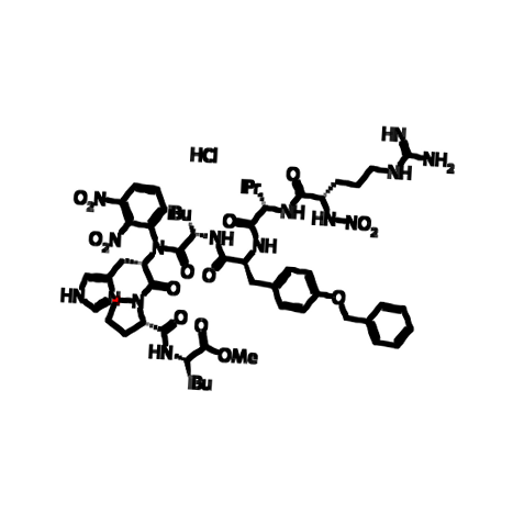 CC[C@H](C)[C@H](NC(=O)[C@@H]1CCCN1C(=O)[C@H](Cc1c[nH]cn1)N(C(=O)[C@@H](NC(=O)[C@H](Cc1ccc(OCc2ccccc2)cc1)NC(=O)[C@@H](NC(=O)[C@H](CCCNC(=N)N)N[N+](=O)[O-])C(C)C)[C@@H](C)CC)c1cccc([N+](=O)[O-])c1[N+](=O)[O-])C(=O)OC.Cl